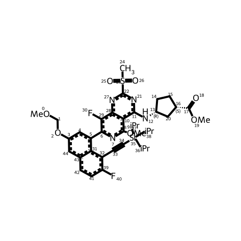 COCOc1cc(-c2nc(OC)c3c(N[C@@H]4CC[C@H](C(=O)OC)C4)nc(S(C)(=O)=O)nc3c2F)c2c(C#C[Si](C(C)C)(C(C)C)C(C)C)c(F)ccc2c1